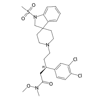 CON(C)C(=O)C[C@@H](CCN1CCC2(CC1)CN(S(C)(=O)=O)c1ccccc12)c1ccc(Cl)c(Cl)c1